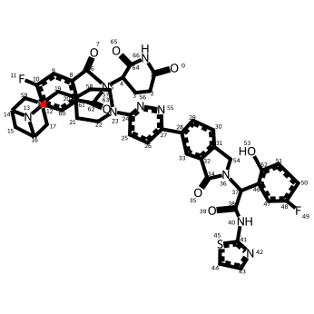 O=C1CCC(N2C(=O)c3cc(F)c(N4C5CC4CN(CC4CCN(c6ccc(-c7ccc8c(c7)C(=O)N(C(C(=O)Nc7nccs7)c7cc(F)ccc7O)C8)nn6)CC4)C5)cc3C2=O)C(=O)N1